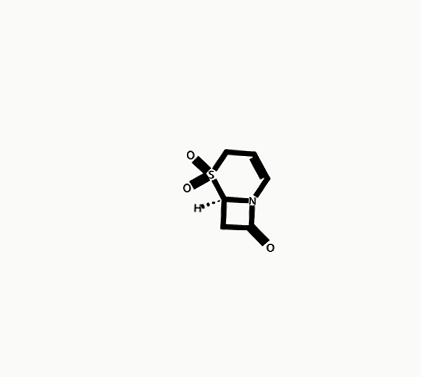 O=C1C[C@@H]2N1C=CCS2(=O)=O